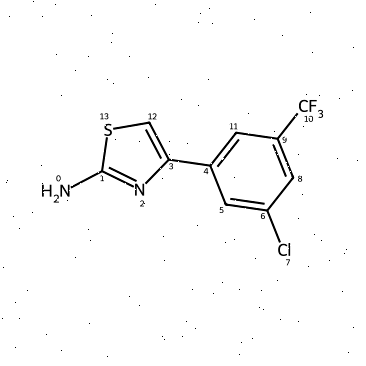 Nc1nc(-c2cc(Cl)cc(C(F)(F)F)c2)cs1